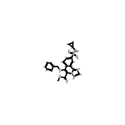 COC(=O)c1c(OCc2ccccc2)c2ccc(S(=O)(=O)NC3CC3)cc2c2ncnn12